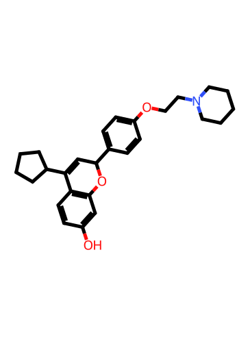 Oc1ccc2c(c1)OC(c1ccc(OCCN3CCCCC3)cc1)C=C2C1CCCC1